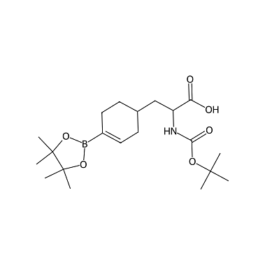 CC(C)(C)OC(=O)NC(CC1CC=C(B2OC(C)(C)C(C)(C)O2)CC1)C(=O)O